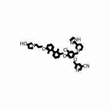 Cc1c(COc2cc(OCc3cncc(C#N)c3)c(CN3CCCC(c4ncc[nH]4)C3)cc2Cl)cccc1-c1cccc(OCCCN2CCC(O)C2)c1C